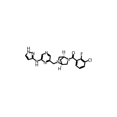 O=C(c1cccc(Cl)c1F)N1C[C@@H]2C[C@H]1CN2Cc1cncc(Nc2cc[nH]n2)n1